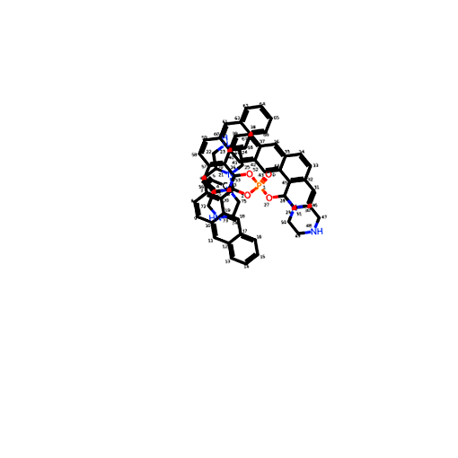 O=P(OC12CC=C(c3ccc4cc5ccccc5cc4c31)C1CNCCN12)(OC12CC=C(c3ccc4cc5ccccc5cc4c31)C1CNCCN12)OC12CC=C(c3ccc4cc5ccccc5cc4c31)C1CNCCN12